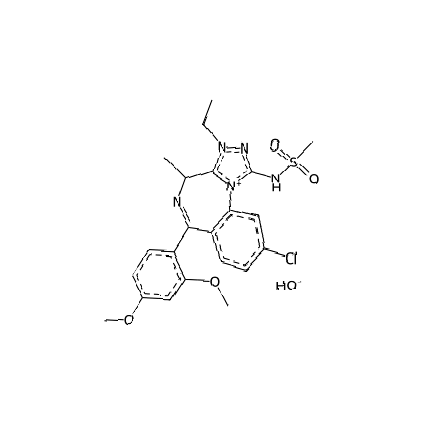 CCn1nc(NS(C)(=O)=O)[n+]2c1C(C)N=C(c1ccc(OC)cc1OC)c1ccc(Cl)cc1-2.[OH-]